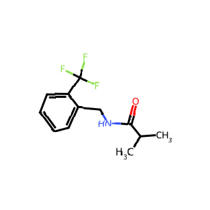 CC(C)C(=O)NCc1ccccc1C(F)(F)F